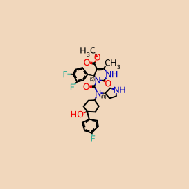 COC(=O)C1=C(C)NC(=O)N(C(=O)N(C2CCC(O)(c3ccc(F)cc3)CC2)[C@@H]2CCNC2)[C@H]1c1ccc(F)c(F)c1